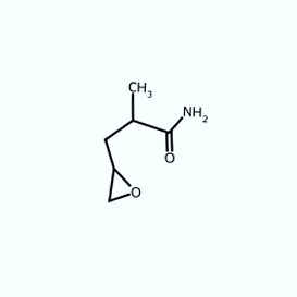 CC(CC1CO1)C(N)=O